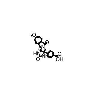 COC1=CCC2=C(C=C1)CN(CC1(c3ccc(C(=O)O)cc3)NC(=O)NC1=O)C2=O